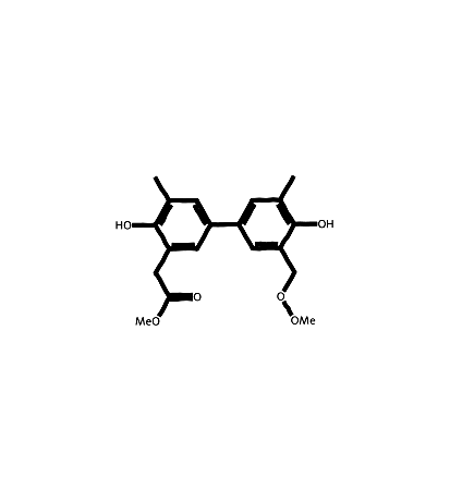 COOCc1cc(-c2cc(C)c(O)c(CC(=O)OC)c2)cc(C)c1O